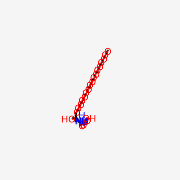 COCCOCCOCCOCCOCCOCCOCCOCCOCCOCCOCCOCCOCCOCCOCCOCCOCC#Cc1cc(NC[C@@H](C=O)NC(=O)[C@@H](NC(=O)O)C(C)C)ccc1CO